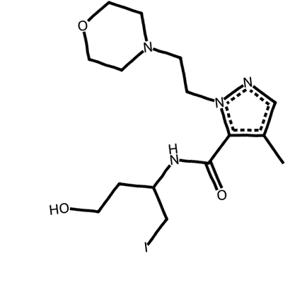 Cc1cnn(CCN2CCOCC2)c1C(=O)NC(CI)CCO